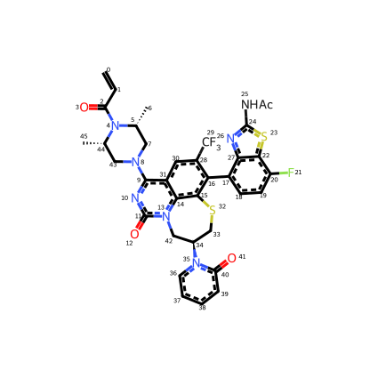 C=CC(=O)N1[C@H](C)CN(c2nc(=O)n3c4c(c(-c5ccc(F)c6sc(NC(C)=O)nc56)c(C(F)(F)F)cc24)SC[C@@H](n2ccccc2=O)C3)C[C@@H]1C